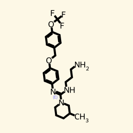 CC1CCCN(/C(=N/c2ccc(OCc3ccc(OC(F)(F)F)cc3)cc2)NCCCN)C1